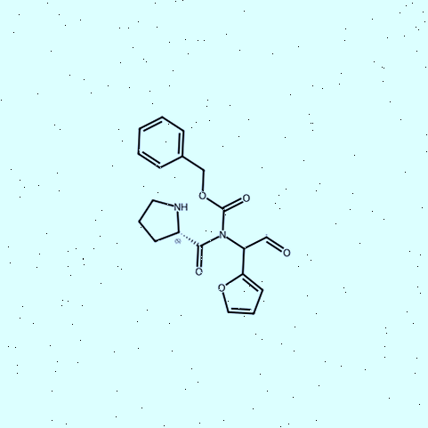 O=[C]C(c1ccco1)N(C(=O)OCc1ccccc1)C(=O)[C@@H]1CCCN1